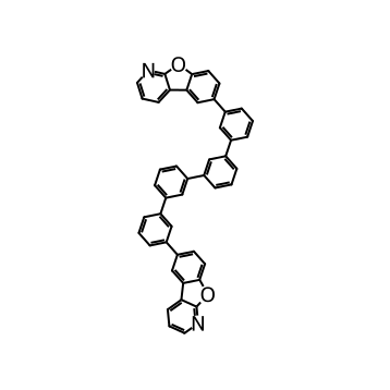 c1cc(-c2cccc(-c3cccc(-c4ccc5oc6ncccc6c5c4)c3)c2)cc(-c2cccc(-c3ccc4oc5ncccc5c4c3)c2)c1